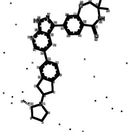 C[C@H]1CCCN1C1Cc2ccc(-c3cnc4[nH]nc(-c5ccc6c(c5)OCC(C)(C)NC6=O)c4c3)cc2C1